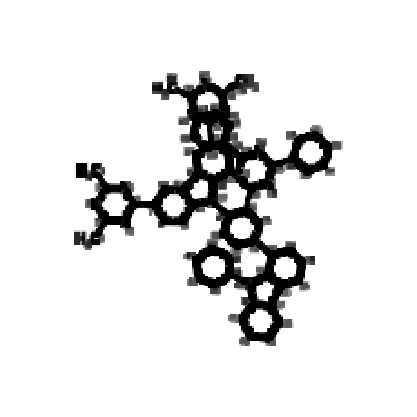 Cc1nc(C)nc(-c2ccc3c(c2)c2cc(-c4nc(C)nc(C)n4)ccc2n3-c2ccc(-c3cccc4c5ccccc5n(-c5ccccc5)c34)cc2-c2nc(-c3ccccc3)nc(-c3ccccc3)n2)n1